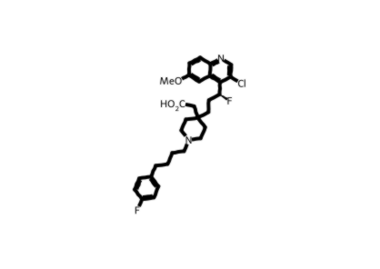 COc1ccc2ncc(Cl)c([C@@H](F)CCC3(CC(=O)O)CCN(CCCCc4ccc(F)cc4)CC3)c2c1